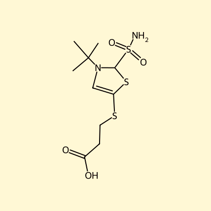 CC(C)(C)N1C=C(SCCC(=O)O)SC1S(N)(=O)=O